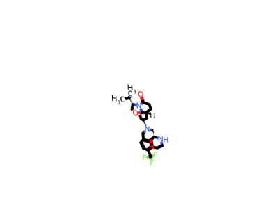 CC(C)[C@H]1CO[C@]23CC[C@H](N(Cc4ccc(C(F)(F)F)cc4)C[C@H]4CCCCN4)C[C@H]2CCC(=O)N13